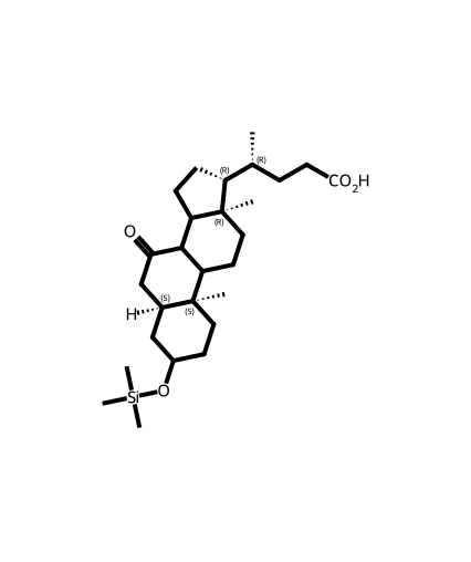 C[C@H](CCC(=O)O)[C@H]1CCC2C3C(=O)C[C@@H]4CC(O[Si](C)(C)C)CC[C@]4(C)C3CC[C@@]21C